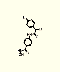 CCC(C(=O)Nc1ccc(C(=O)NO)cc1)c1ccc(Br)cc1